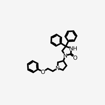 O=C1NC(c2ccccc2)(c2ccccc2)CN1C1CCN(CCOc2ccccc2)C1